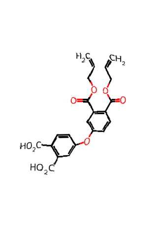 C=CCOC(=O)c1ccc(Oc2ccc(C(=O)O)c(C(=O)O)c2)cc1C(=O)OCC=C